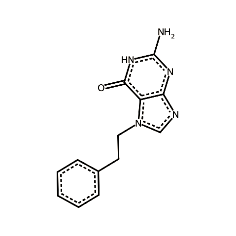 Nc1nc2ncn(CCc3ccccc3)c2c(=O)[nH]1